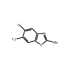 CC(C)(C)c1nc2cc(Cl)c(C(F)(F)F)cc2o1